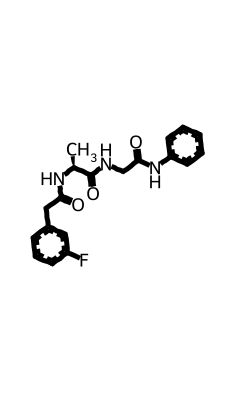 C[C@H](NC(=O)Cc1cccc(F)c1)C(=O)NCC(=O)Nc1ccccc1